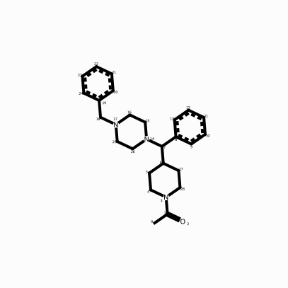 CC(=O)N1CCC(C(c2ccccc2)N2CCN(Cc3ccccc3)CC2)CC1